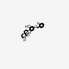 Cl.O=C1NCCC[C@]12CC[C@@H](c1ccc(OCc3ccccc3F)cc1)N2